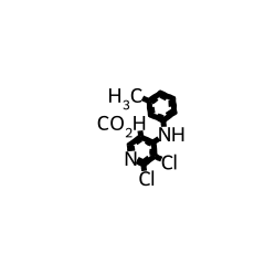 Cc1cccc(Nc2c(C(=O)O)cnc(Cl)c2Cl)c1